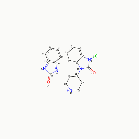 O=C1N(Cl)C2=CC=CCC2N1C1CCNCC1.O=C1N=c2ccccc2=N1